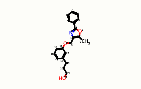 Cc1oc(-c2ccccc2)nc1COc1cccc(CCCO)c1